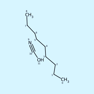 CCCCCCCCC.N#CO